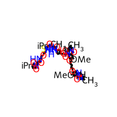 COc1cc2c(cc1OCCCCCOc1cc3c(cc1OC)C(=O)N1C=C(C)C[C@H]1[C@H](O)N3C(=O)OCc1ccc(NC(=O)[C@H](C)NC(=O)[C@@H](NC(=S)CCOCCNC(=O)CCN3C(=O)CC(C(C)C)C3=O)C(C)C)cc1)N=C[C@@H]1CC(C)=CN1C2=O